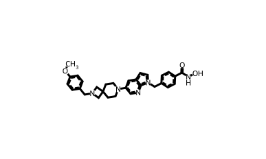 COc1ccc(CN2CC3(CCN(c4cnc5c(ccn5Cc5ccc(C(=O)NO)cc5)c4)CC3)C2)cc1